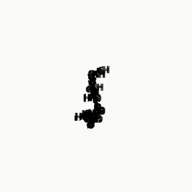 COc1cc2c(cc1OCCCC(=O)Nc1cc(C(=O)Nc3ccc4sc(C(=O)NCC(C)(C)S)cc4c3)n(C)c1)NC(S(=O)(=O)O)[C@@H]1Cc3ccccc3CN1C2=O